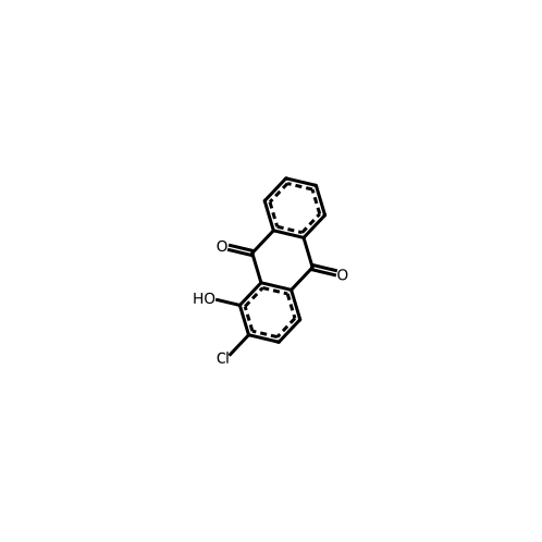 O=C1c2ccccc2C(=O)c2c1ccc(Cl)c2O